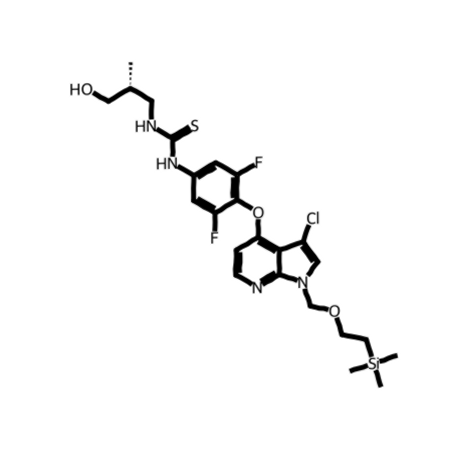 C[C@@H](CO)CNC(=S)Nc1cc(F)c(Oc2ccnc3c2c(Cl)cn3COCC[Si](C)(C)C)c(F)c1